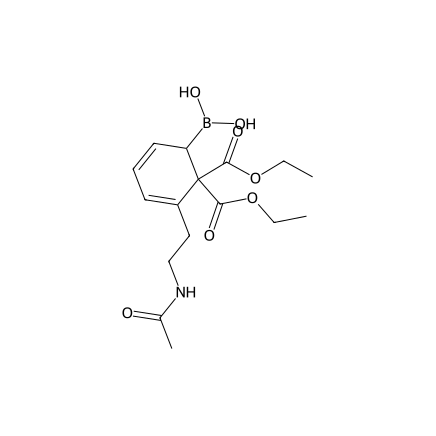 CCOC(=O)C1(C(=O)OCC)C(CCNC(C)=O)=CC=CC1B(O)O